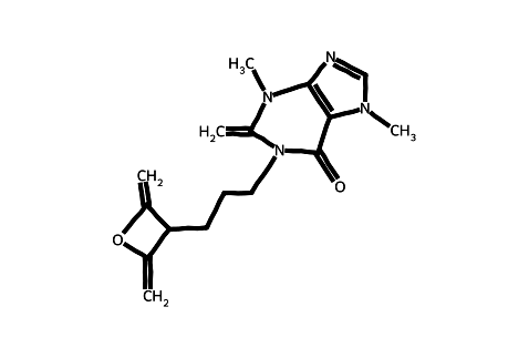 C=C1OC(=C)C1CCCN1C(=C)N(C)c2ncn(C)c2C1=O